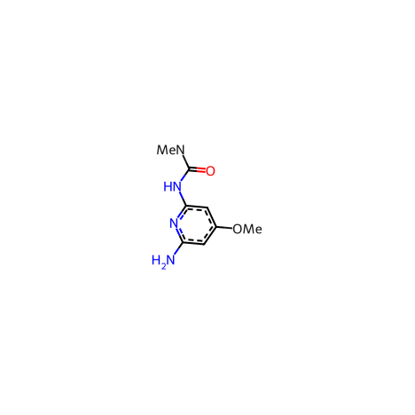 CNC(=O)Nc1cc(OC)cc(N)n1